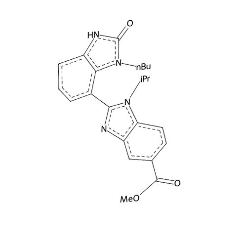 CCCCn1c(=O)[nH]c2cccc(-c3nc4cc(C(=O)OC)ccc4n3C(C)C)c21